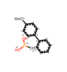 COc1ccc(-c2ccccc2)cc1.CP(O)O